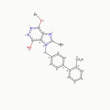 CCCCc1nc2c(OC(C)C)nnc(O)c2n1Cc1ccc(-c2ccccc2C(=O)O)cc1